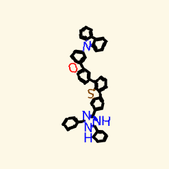 C1=CCCC(C2NC(c3ccc4c(c3)sc3c(-c5ccc6oc7ccc(-n8c9ccccc9c9ccccc98)cc7c6c5)cccc34)=NC(c3ccccc3)N2)=C1